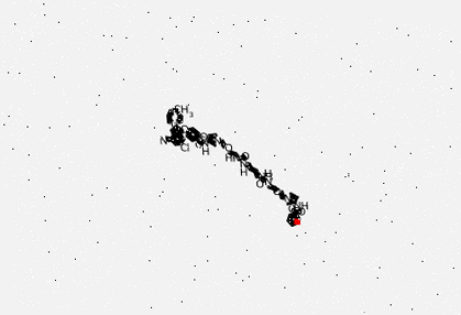 CN1CCCN([C@H]2Cc3c(C#N)cc(Cl)cc3[C@@H]2Oc2ccc(S(=O)(=O)N[C@H]3CCN(CCOCCNC(=O)NCCCCNC(=O)NCCOCCN4CC[C@H](NS(=O)(=O)c5ccccc5)C4)C3)cc2)CC1